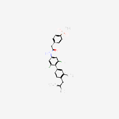 CCC(Cc1ccc(-c2c(Cl)cc(NC(=O)Cc3ccc(S(C)(=O)=O)cc3)cc2Cl)cc1C#N)NC